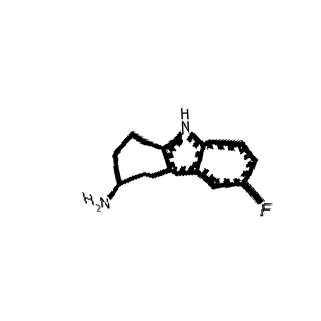 NC1CCc2[nH]c3ccc(F)cc3c2C1